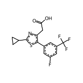 O=C(O)Cc1nc(C2CC2)sc1-c1cc(F)cc(C(F)(F)F)c1